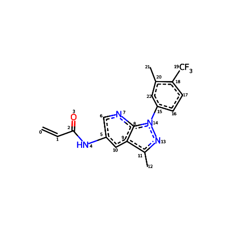 C=CC(=O)Nc1cnc2c(c1)c(C)nn2-c1ccc(C(F)(F)F)c(C)c1